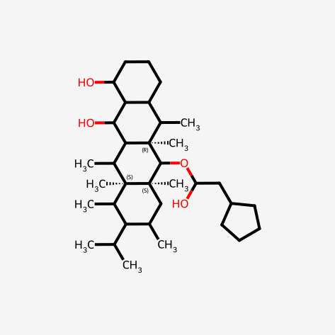 CC(C)C1C(C)C[C@]2(C)C(OC(O)CC3CCCC3)[C@]3(C)C(C)C4CCCC(O)C4C(O)C3C(C)[C@]2(C)C1C